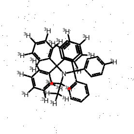 [3H]c1ccc(C(c2ccccc2)(c2ccccc2)N(C(c2c([3H])c([3H])c([3H])c([3H])c2[3H])(c2c([3H])c([3H])c([3H])c([3H])c2[3H])c2c([3H])c([3H])c([3H])c([3H])c2[3H])C([3H])([3H])C([3H])([3H])[3H])cc1